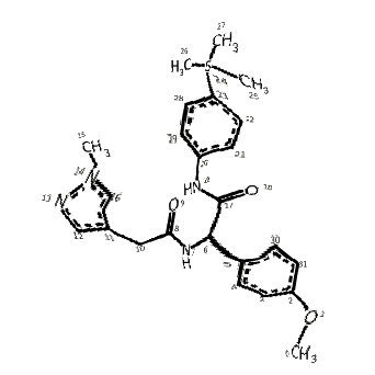 COc1ccc(C(NC(=O)Cc2cnn(C)c2)C(=O)Nc2ccc(S(C)(C)C)cc2)cc1